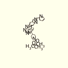 CC(C)(C)OC(=O)N1CCC(c2cc(-c3ccc4cn(Cc5ccccn5)nc4c3)c3c(N)ncnn23)CC1